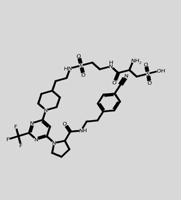 N#Cc1ccc(CCNC(=O)C2CCCN2c2cc(N3CCC(CCNS(=O)(=O)CCNC(=O)C(N)CS(=O)(=O)O)CC3)nc(C(F)(F)F)n2)cc1